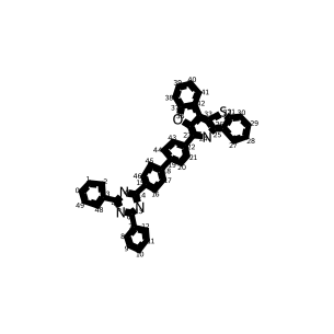 c1ccc(-c2nc(-c3ccccc3)nc(-c3ccc(-c4ccc(-c5nc6c7ccccc7sc6c6c5oc5ccccc56)cc4)cc3)n2)cc1